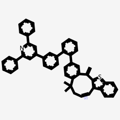 C=C1c2cc(-c3ccccc3-c3cccc(-c4cc(-c5ccccc5)nc(-c5ccccc5)c4)c3)ccc2C(C)(C)C/C=C\c2c1sc1ccccc21